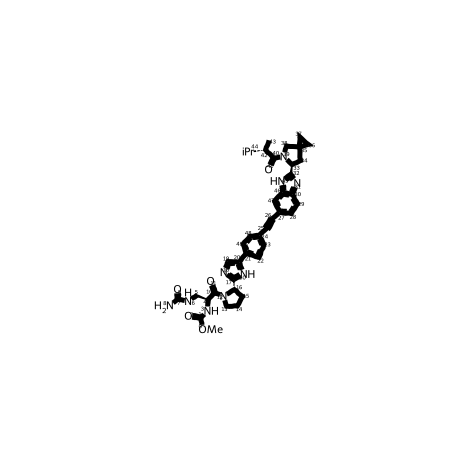 COC(=O)N[C@@H](CNC(N)=O)C(=O)N1CCC[C@H]1c1ncc(-c2ccc(C#Cc3ccc4nc([C@@H]5CC6(CC6)CN5C(=O)[C@@H](C)C(C)C)[nH]c4c3)cc2)[nH]1